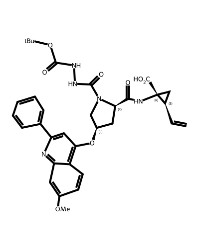 C=C[C@@H]1C[C@]1(NC(=O)[C@H]1C[C@@H](Oc2cc(-c3ccccc3)nc3cc(OC)ccc23)CN1C(=O)NNC(=O)OC(C)(C)C)C(=O)O